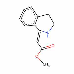 COC(=O)/C=C1\NCCc2ccccc21